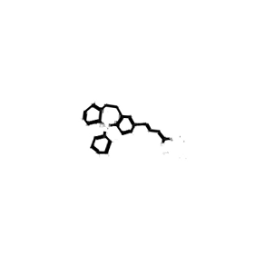 N#C/C(=C/C=C/c1ccc2c(c1)CCc1ccccc1N2c1ccccc1)OC=O